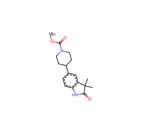 CC(C)(C)OC(=O)N1CCC(c2ccc3c(c2)C(C)(C)C(=O)N3)CC1